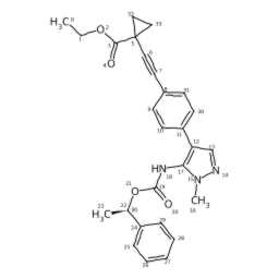 CCOC(=O)C1(C#Cc2ccc(-c3cnn(C)c3NC(=O)O[C@H](C)c3ccccc3)cc2)CC1